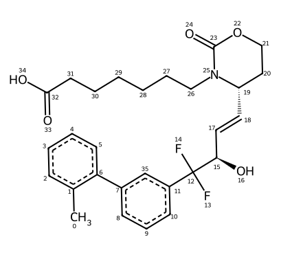 Cc1ccccc1-c1cccc(C(F)(F)[C@H](O)C=C[C@H]2CCOC(=O)N2CCCCCCC(=O)O)c1